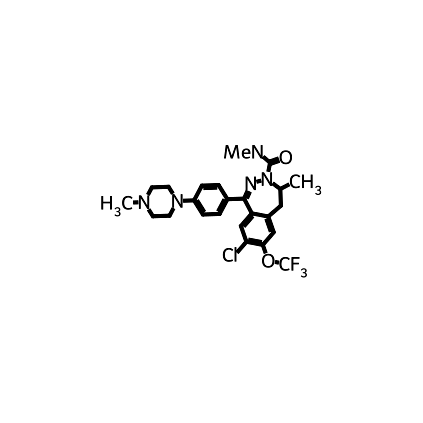 CNC(=O)N1N=C(c2ccc(N3CCN(C)CC3)cc2)c2cc(Cl)c(OC(F)(F)F)cc2CC1C